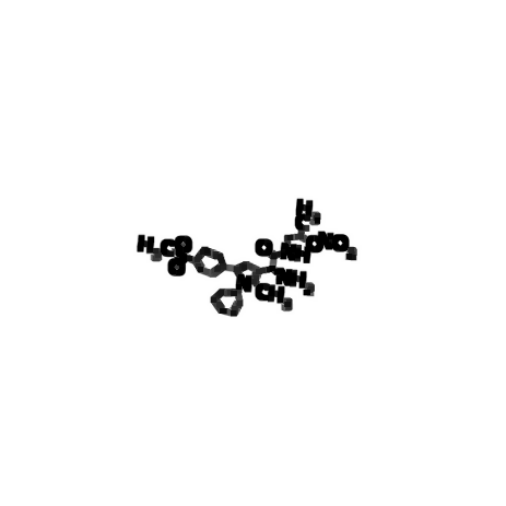 Cc1c([C@H](N)C(=O)NCC(C)O[N+](=O)[O-])cc(-c2ccc(S(C)(=O)=O)cc2)n1-c1ccccc1